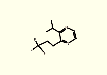 CC(C)c1nccnc1CCC(F)(F)F